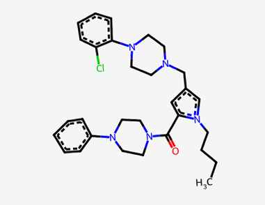 CCCCn1cc(CN2CCN(c3ccccc3Cl)CC2)cc1C(=O)N1CCN(c2ccccc2)CC1